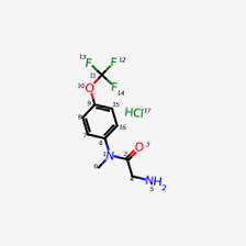 CN(C(=O)CN)c1ccc(OC(F)(F)F)cc1.Cl